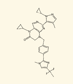 Cc1cnn(C2CC2)c1-c1ncc2c(n1)N(Cc1ccc(-c3nc(C(C)(F)F)cn3C)cc1)CC(=O)N2C1CC1